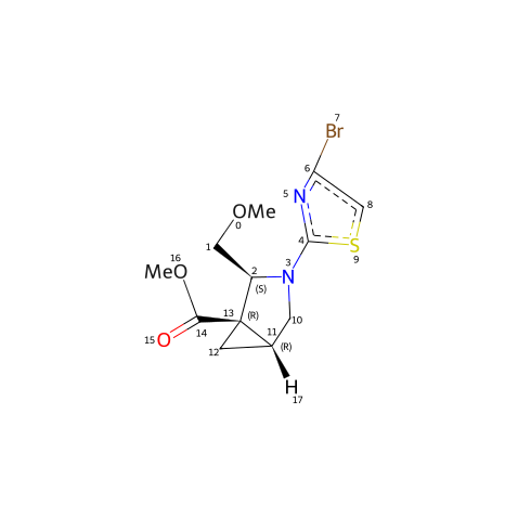 COC[C@H]1N(c2nc(Br)cs2)C[C@@H]2C[C@@]21C(=O)OC